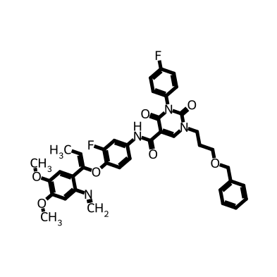 C=Nc1cc(OC)c(OC)cc1/C(=C\C)Oc1ccc(NC(=O)c2cn(CCCOCc3ccccc3)c(=O)n(-c3ccc(F)cc3)c2=O)cc1F